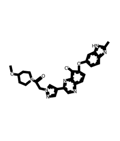 COC1CCN(C(=O)Cn2cc(-c3cnc4ccc(Oc5ccc6nc(C)[nH]c6c5)c(Cl)c4n3)cn2)CC1